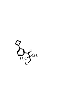 CC(C)(CCl)C(=O)c1cccc(C2CCC2)c1